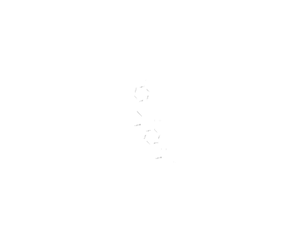 CCCC(=O)Oc1ccc(C(=O)/C=C/c2ccc(O)cc2)c(O)c1